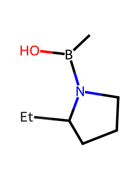 CCC1CCCN1B(C)O